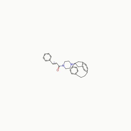 O=C(/C=C/c1ccccc1)N1CCN(CCc2cc3ccc2CCc2ccc(cc2)CC3)CC1